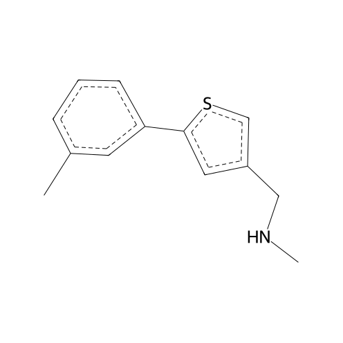 CNCc1csc(-c2cccc(C)c2)c1